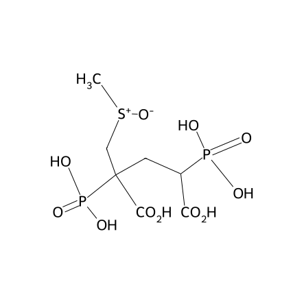 C[S+]([O-])CC(CC(C(=O)O)P(=O)(O)O)(C(=O)O)P(=O)(O)O